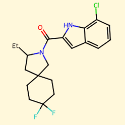 CCC1CC2(CCC(F)(F)CC2)CN1C(=O)c1cc2cccc(Cl)c2[nH]1